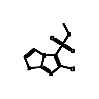 COS(=O)(=O)c1c(Cl)nc2sccn12